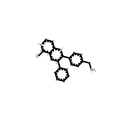 NCc1ccc(-c2nc3ccnc(Cl)c3cc2-c2ccccc2)cc1